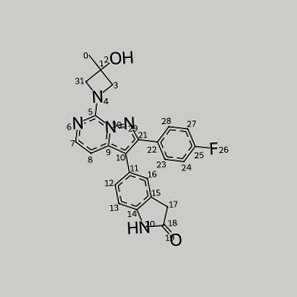 CC1(O)CN(c2nccc3c(-c4ccc5c(c4)CC(=O)N5)c(-c4ccc(F)cc4)nn23)C1